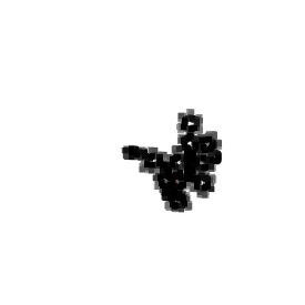 Cc1cc(-c2ccccc2)ccc1N1c2ccc(N(c3ccc(C(C)(C)C)cc3)c3ccc(C(C)(C)C)cc3)cc2B2c3c(cc4oc5ccccc5c4c31)-c1ccccc1N2c1cccc(-c2ccccc2)c1